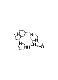 CC1CN(Cc2ccn3ncc(N4C=CCNC4)c3c2)CCN1C1COC1